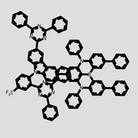 FC(F)(F)c1ccc(-n2c3ccc(-c4cc5c6c(c4)N(c4ccccc4)c4ccc(-c7ccccc7)cc4B6c4cc(-c6ccccc6)ccc4N5c4ccccc4)cc3c3cc(-c4nc(-c5ccccc5)nc(-c5ccccc5)n4)ccc32)c(-c2nc(-c3ccccc3)nc(-c3ccccc3)n2)c1